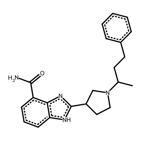 CC(CCc1ccccc1)N1CCC(c2nc3c(C(N)=O)cccc3[nH]2)C1